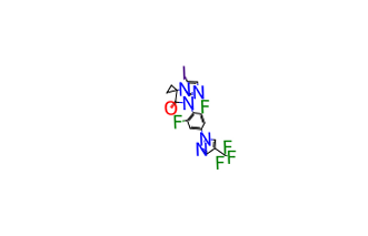 O=C1N(c2c(F)cc(-n3cc(C(F)(F)F)cn3)cc2F)c2ncc(I)n2C12CC2